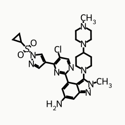 CN1CCN(C2CCN(c3c4c(-c5ncc(Cl)c(-c6cnn(S(=O)(=O)C7CC7)c6)n5)cc(N)cc4nn3C)CC2)CC1